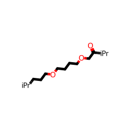 CC(C)CCCOCCCCOCC(=O)C(C)C